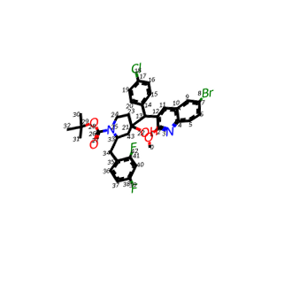 COc1nc2ccc(Br)cc2cc1C(c1ccc(Cl)cc1)C1(O)CCN(C(=O)OC(C)(C)C)C(Cc2ccc(F)cc2F)C1